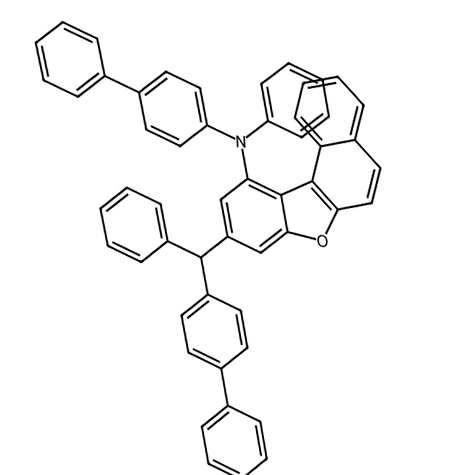 c1ccc(-c2ccc(C(c3ccccc3)c3cc(N(c4ccccc4)c4ccc(-c5ccccc5)cc4)c4c(c3)oc3ccc5ccccc5c34)cc2)cc1